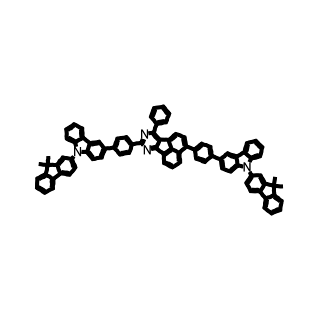 CC1(C)c2ccccc2-c2ccc(-n3c4ccccc4c4cc(-c5ccc(-c6nc(-c7ccccc7)c7c(n6)-c6cccc8c(-c9ccc(-c%10ccc%11c(c%10)c%10ccccc%10n%11-c%10ccc%11c(c%10)C(C)(C)c%10ccccc%10-%11)cc9)ccc-7c68)cc5)ccc43)cc21